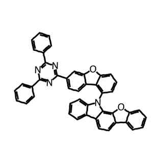 c1ccc(-c2nc(-c3ccccc3)nc(-c3ccc4c(c3)oc3cccc(-n5c6ccccc6c6ccc7c8ccccc8oc7c65)c34)n2)cc1